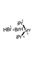 Br.Br.C[CH](C)[Sn][CH](C)C